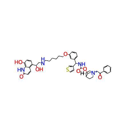 O=C(NC(c1ccsc1)c1cccc(OCCCCCCNC[C@@H](O)c2ccc(O)c3[nH]c(=O)ccc23)c1)O[C@H]1C[N+]2(CC(=O)c3ccccc3)CCC1CC2